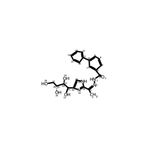 CC(=NNC(=O)c1cccc(-c2ccccc2)c1)c1nc(C(O)[C@H](O)[C@H](O)CO)c[nH]1